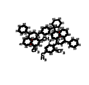 Cc1ccc(N(C=C(c2ccccc2)c2ccccc2)c2ccc(C3(c4ccc(N(C=C(c5ccccc5)c5ccccc5)c5ccc(C(F)(F)F)cc5C)cc4)CCCCC3)cc2)c(C(F)(F)F)c1